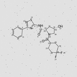 O=C(Nc1nc(-c2ccccc2)ns1)[C@@H]1C[C@H](O)CN1C(=O)C1CCC(F)(F)CC1